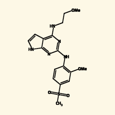 COCCNc1nc(Nc2ccc(S(C)(=O)=O)cc2OC)nc2[nH]ccc12